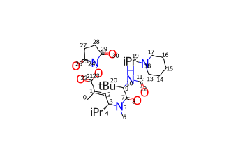 C/C(=C\[C@H](C(C)C)N(C)C(=O)C(NC(=O)[C@H]1CCCCN1C(C)C)C(C)(C)C)C(=O)ON1C(=O)CCC1=O